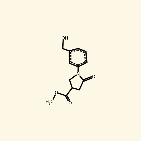 COC(=O)C1CC(=O)N(c2cccc(CO)c2)C1